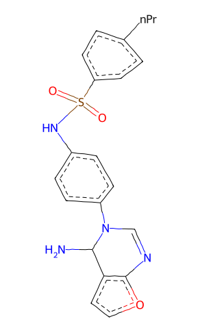 CCCc1ccc(S(=O)(=O)Nc2ccc(N3C=Nc4occc4C3N)cc2)cc1